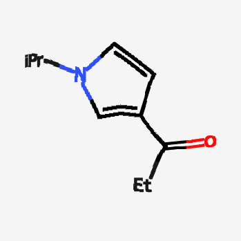 CCC(=O)c1ccn(C(C)C)c1